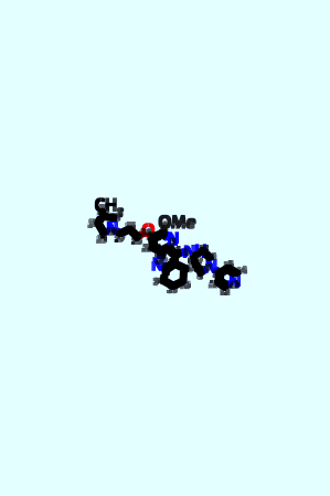 COc1nc2c(NC3CCN(c4ccncc4)CC3)c3c(nc2cc1OCCCN1CCC(C)C1)CCCC3